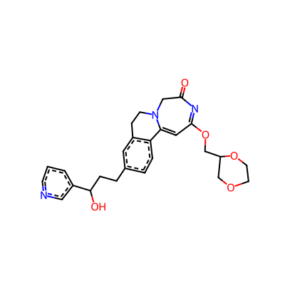 O=C1CN2CCc3cc(CCC(O)c4cccnc4)ccc3C2=CC(OCC2COCCO2)=N1